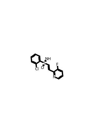 N=S(=O)(/C=C/c1ncccc1F)c1ccccc1Cl